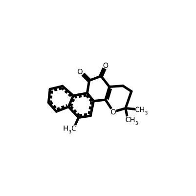 Cc1cc2c(c3ccccc13)C(=O)C(=O)C1=C2OC(C)(C)CC1